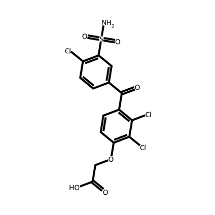 NS(=O)(=O)c1cc(C(=O)c2ccc(OCC(=O)O)c(Cl)c2Cl)ccc1Cl